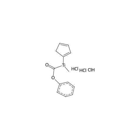 Cl.Cl.Cl.[CH3][Ti]([C](=O)Oc1ccccc1)[C]1=CC=CC1